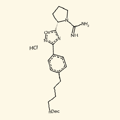 CCCCCCCCCCCCCCc1ccc(-c2noc([C@@H]3CCCN3C(=N)N)n2)cc1.Cl